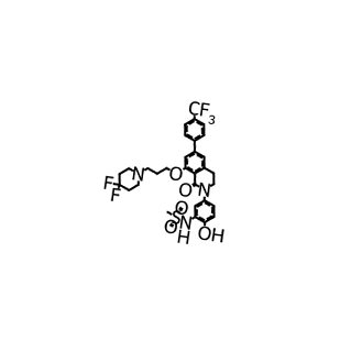 CS(=O)(=O)Nc1cc(N2CCc3cc(-c4ccc(C(F)(F)F)cc4)cc(OCCCN4CCC(F)(F)CC4)c3C2=O)ccc1O